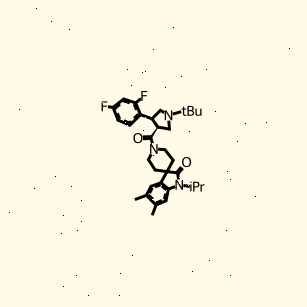 Cc1cc2c(cc1C)C1(CCN(C(=O)[C@@H]3CN(C(C)(C)C)CC3c3ccc(F)cc3F)CC1)C(=O)N2C(C)C